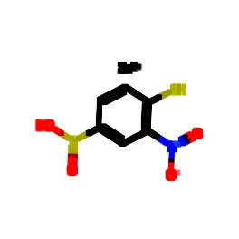 O=[N+]([O-])c1cc(S(=O)O)ccc1S.[Zn+2]